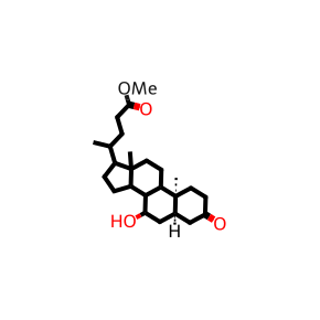 COC(=O)CCC(C)C1CCC2C3C(O)C[C@@H]4CC(=O)CC[C@]4(C)C3CCC12C